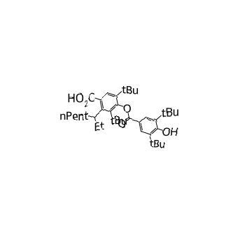 CCCCCC(CC)c1c(C(=O)O)cc(C(C)(C)C)c(OC(=O)c2cc(C(C)(C)C)c(O)c(C(C)(C)C)c2)c1C(C)(C)C